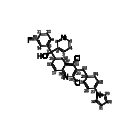 OC(c1cccnc1)(c1cccc(F)c1)c1ccc2nc(Cl)c(Cc3ccc(-n4cccc4)cc3)c(Cl)c2c1